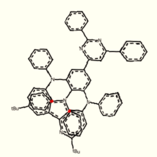 CC(C)(C)c1ccc2c(c1)c1nc(C(C)(C)C)ccc1n2-c1c(N(c2ccccc2)c2ccccc2)cc(-c2cc(-c3ccccc3)nc(-c3ccccc3)n2)cc1N(c1ccccc1)c1ccccc1